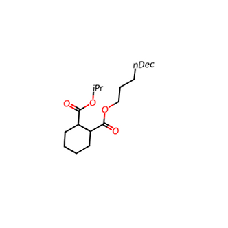 CCCCCCCCCCCCCOC(=O)C1CCCCC1C(=O)OC(C)C